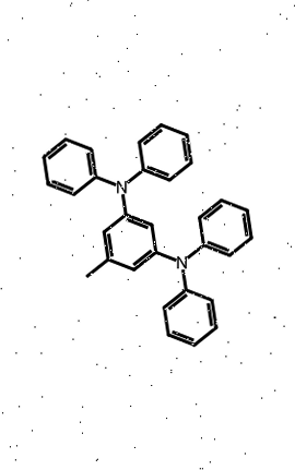 Cc1cc(N(c2ccccc2)c2ccccc2)cc(N(c2ccccc2)c2ccccc2)c1